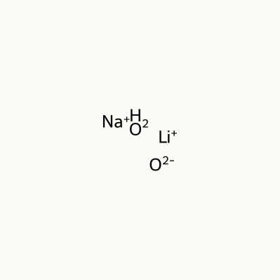 O.[Li+].[Na+].[O-2]